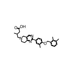 Cc1cc(-c2ncc3c(n2)CCN(CC(C)CC(=O)O)C3)ccc1OCc1cccc(C)c1C